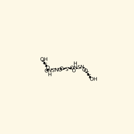 O=C(NCSC/N=C\OOCSCSCO)OCCSCCOO/C=N/CSCNC(=O)OCSCSCO